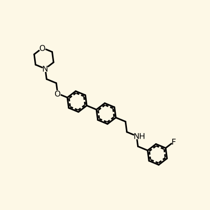 Fc1cccc(CNCCc2ccc(-c3ccc(OCCN4CCOCC4)cc3)cc2)c1